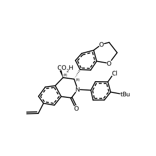 C=Cc1ccc2c(c1)C(=O)N(c1ccc(C(C)(C)C)c(Cl)c1)[C@@H](c1ccc3c(c1)OCCO3)[C@@H]2C(=O)O